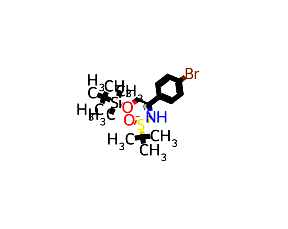 CC(C)(C)[S+]([O-])N[C@@H](CO[Si](C)(C)C(C)(C)C)c1ccc(Br)cc1